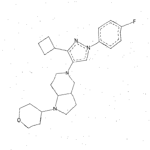 Fc1ccc(-n2cc(N3CCC4C(CCN4C4CCOCC4)C3)c(C3CCC3)n2)cc1